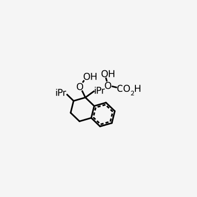 CC(C)C1CCc2ccccc2C1(OO)C(C)C.O=C(O)OO